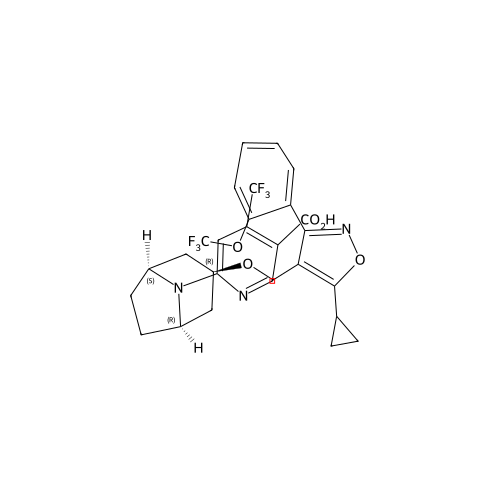 O=C(O)c1cnc(N2[C@@H]3CC[C@H]2C[C@@H](OCc2c(-c4ccccc4OC(F)(F)F)noc2C2CC2)C3)cc1C(F)(F)F